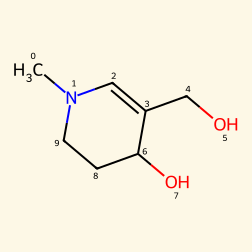 CN1C=C(CO)C(O)CC1